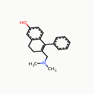 CN(C)CC1=C(c2ccccc2)c2ccc(O)cc2CC1